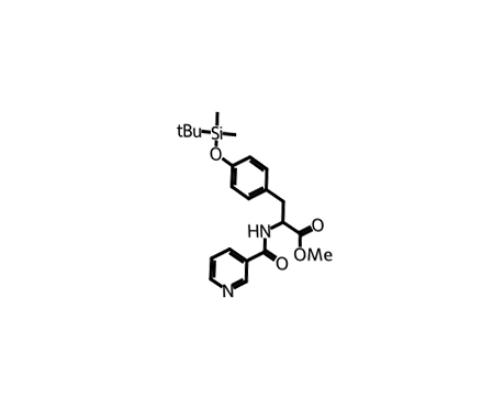 COC(=O)C(Cc1ccc(O[Si](C)(C)C(C)(C)C)cc1)NC(=O)c1cccnc1